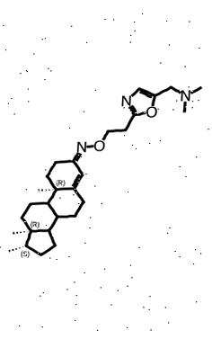 C[C@H]1CCC2C3CCC4=CC(=NOCCc5ncc(CN(C)C)o5)CC[C@]4(C)C3CC[C@@]21C